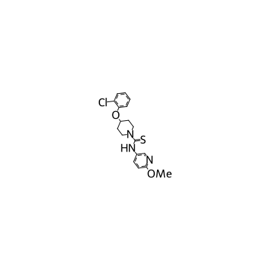 COc1ccc(NC(=S)N2CCC(Oc3ccccc3Cl)CC2)cn1